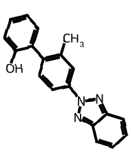 Cc1cc(-n2nc3ccccc3n2)ccc1-c1ccccc1O